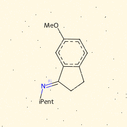 CCCC(C)/N=C1\CCc2ccc(OC)cc21